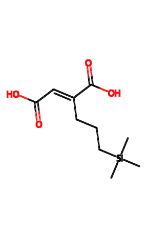 C[Si](C)(C)CCC/C(=C\C(=O)O)C(=O)O